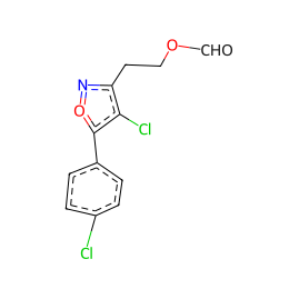 O=COCCc1noc(-c2ccc(Cl)cc2)c1Cl